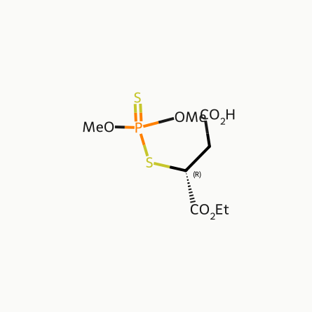 CCOC(=O)[C@@H](CC(=O)O)SP(=S)(OC)OC